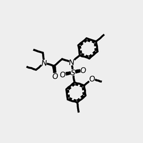 CCN(CC)C(=O)CN(c1ccc(C)cc1)S(=O)(=O)c1ccc(C)cc1OC